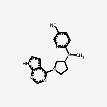 CN(c1ccc(C#N)cn1)[C@H]1CCN(c2ncnc3[nH]ccc23)C1